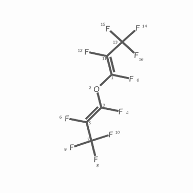 FC(OC(F)=C(F)C(F)(F)F)=C(F)C(F)(F)F